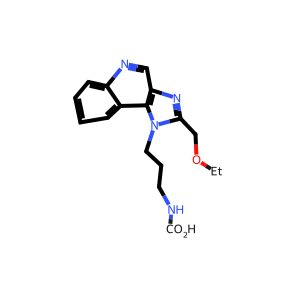 CCOCc1nc2cnc3ccccc3c2n1CCCNC(=O)O